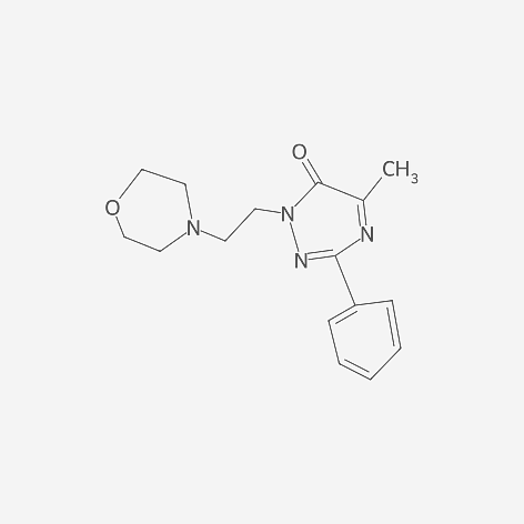 Cc1nc(-c2ccccc2)nn(CCN2CCOCC2)c1=O